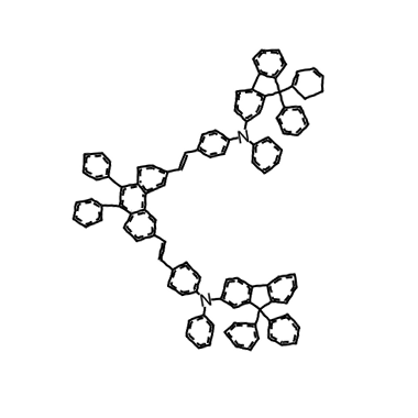 C1=CCCC(C2(c3ccccc3)c3ccccc3-c3ccc(N(c4ccccc4)c4ccc(/C=C/c5ccc6c(-c7ccccc7)c(-c7ccccc7)c7ccc(/C=C/c8ccc(N(c9ccccc9)c9ccc%10c(c9)C(c9ccccc9)(c9ccccc9)c9ccccc9-%10)cc8)cc7c6c5)cc4)cc32)=C1